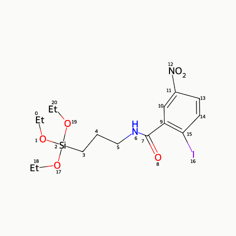 CCO[Si](CCCNC(=O)c1cc([N+](=O)[O-])ccc1I)(OCC)OCC